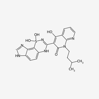 CC(C)CCn1c(=O)c(C2=NS(O)(O)c3c(ccc4[nH][c]nc34)N2)c(O)c2cccnc21